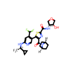 O=C(N[C@@H]1COC[C@H]1O)c1nc(C(=O)N2[C@H]3CC[C@H]2CC3)c(-c2cnc(N[C@@H](C3CC3)C(F)(F)F)cc2C(F)F)s1